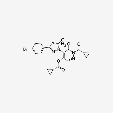 Cc1cc(-c2ccc(Br)cc2)nn1-c1c(OC(=O)C2CC2)cnn(C(=O)C2CC2)c1=O